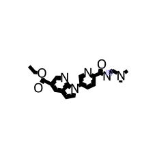 CCOC(=O)c1cnc2c(ccn2-c2ccc(C(=O)/N=C/N(C)C)nc2)c1